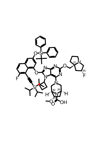 CO[C@H]1C[C@@H]2CN(c3nc(OC[C@@]45CCCN4C[C@H](F)C5)nc4nc(Oc5cc(O[Si](c6ccccc6)(c6ccccc6)C(C)(C)C)cc6ccc(F)c(C#C[Si](C(C)C)(C(C)C)C(C)C)c56)n(C5CCC5)c34)C[C@H]1N2C(=O)O